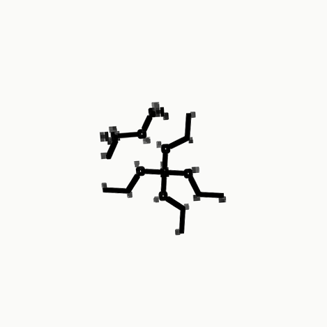 CCO[Si](OCC)(OCC)OCC.C[SiH2]O[SiH3]